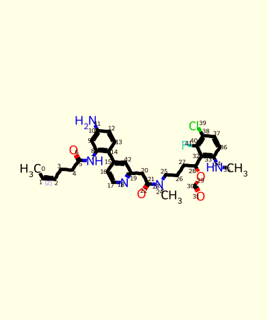 C/C=C\CCC(=O)Nc1cc(N)ccc1-c1ccnc(CC(=O)N(C)CCCC(OC=O)c2c(NC)ccc(Cl)c2F)c1